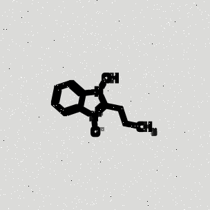 CCCc1n(O)c2ccccc2[n+]1[O-]